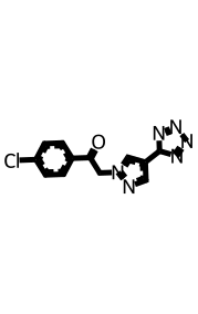 O=C(Cn1cc(C2N=NN=N2)cn1)c1ccc(Cl)cc1